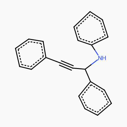 C(#CC(Nc1ccccc1)c1ccccc1)c1ccccc1